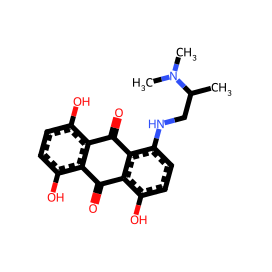 CC(CNc1ccc(O)c2c1C(=O)c1c(O)ccc(O)c1C2=O)N(C)C